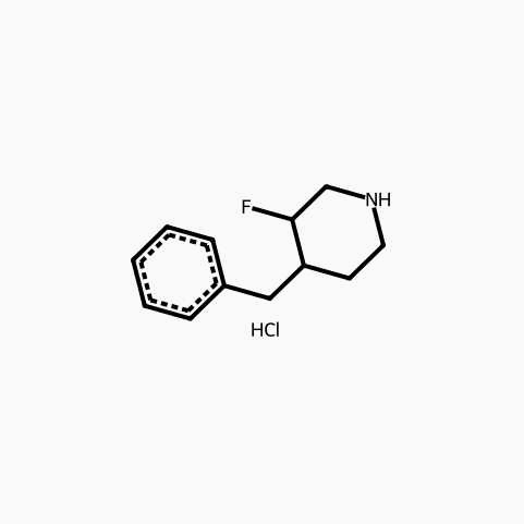 Cl.FC1CNCCC1Cc1ccccc1